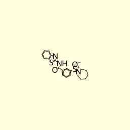 O=C(Nc1nc2ccccc2s1)c1cccc([S+]([O-])N2CCCCCC2)c1